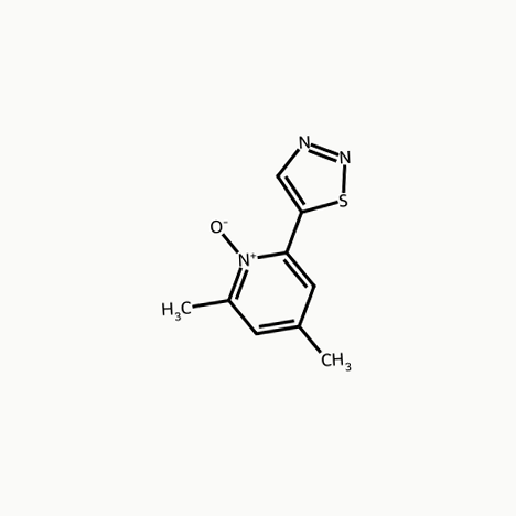 Cc1cc(C)[n+]([O-])c(-c2cnns2)c1